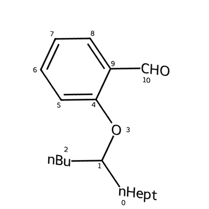 CCCCCCCC(CCCC)Oc1ccccc1C=O